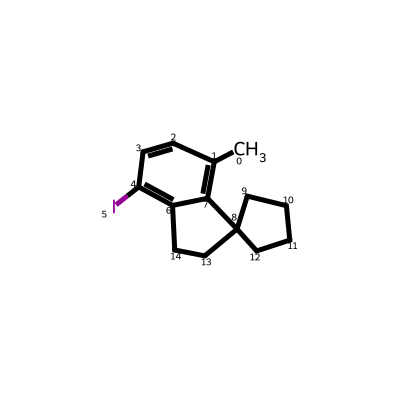 Cc1ccc(I)c2c1C1(CCCC1)CC2